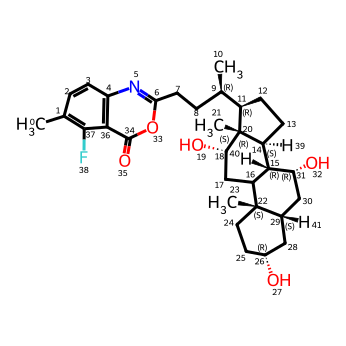 Cc1ccc2nc(CC[C@@H](C)[C@H]3CC[C@H]4[C@H]5C(C[C@H](O)[C@]34C)[C@@]3(C)CC[C@@H](O)C[C@H]3C[C@H]5O)oc(=O)c2c1F